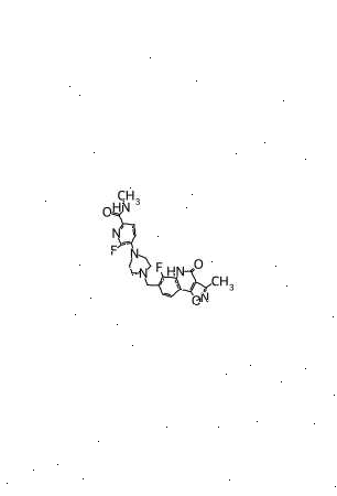 CNC(=O)c1ccc(N2CCN(Cc3ccc4c([nH]c(=O)c5c(C)noc54)c3F)CC2)c(F)n1